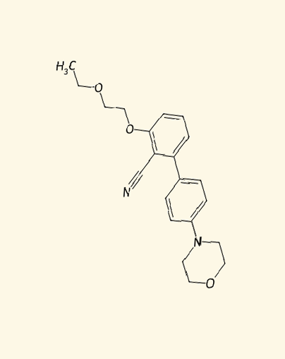 CCOCCOc1cccc(-c2ccc(N3CCOCC3)cc2)c1C#N